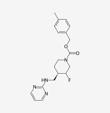 Cc1ccc(COC(=O)N2CC[C@H](CNc3ncccn3)C(F)C2)cc1